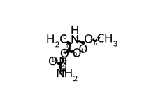 C=C(NC(=O)OCC)C(=O)ONC(N)=O